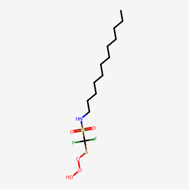 CCCCCCCCCCCCNS(=O)(=O)C(F)(F)SOOO